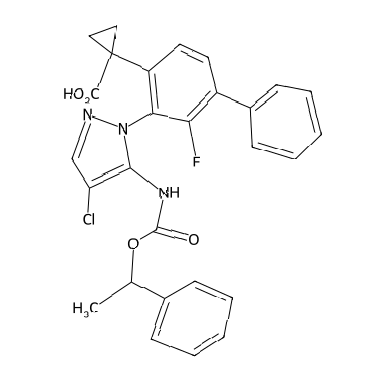 CC(OC(=O)Nc1c(Cl)cnn1-c1c(C2(C(=O)O)CC2)ccc(-c2ccccc2)c1F)c1ccccc1